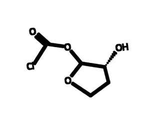 O=C(Cl)OC1OCC[C@H]1O